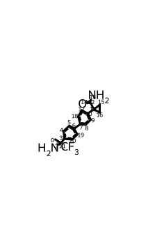 C[C@@](N)(c1ccc(-c2ccc(C3(C(N)=O)CC3)cc2)cc1)C(F)(F)F